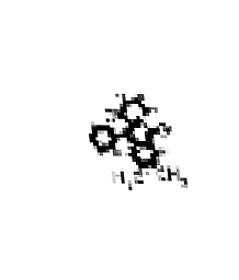 Cc1cc2c(-c3ccccc3)c3n(c(=O)c2cc1C)CCCC3=O